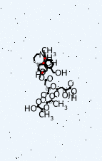 C[C@H](OC(=O)[C@H](C)OC(=O)[C@H](CC(=O)OC1=CC[C@@]2(O)[C@H]3Cc4ccc(CO)c5c4[C@@]2(CCCN3C)[C@H]1O5)OC(=O)C[C@H](O)C(=O)O)C(=O)O